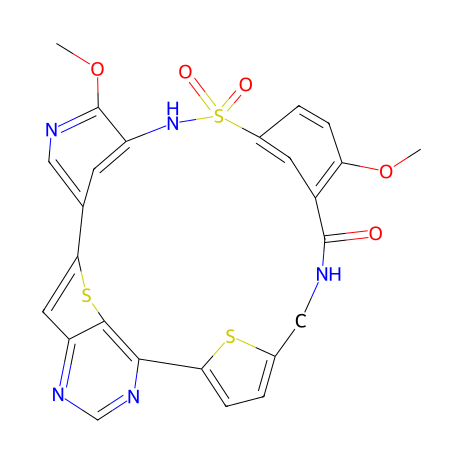 COc1ccc2cc1C(=O)NCc1ccc(s1)-c1ncnc3cc(sc13)-c1cnc(OC)c(c1)NS2(=O)=O